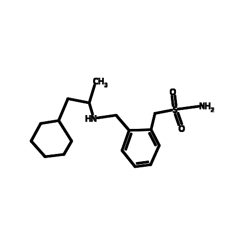 CC(CC1CCCCC1)NCc1ccccc1CS(N)(=O)=O